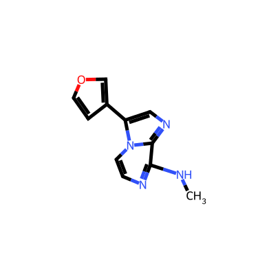 CNc1nccn2c(-c3ccoc3)cnc12